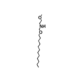 CCCCCCCCCCCCOCNCCOC